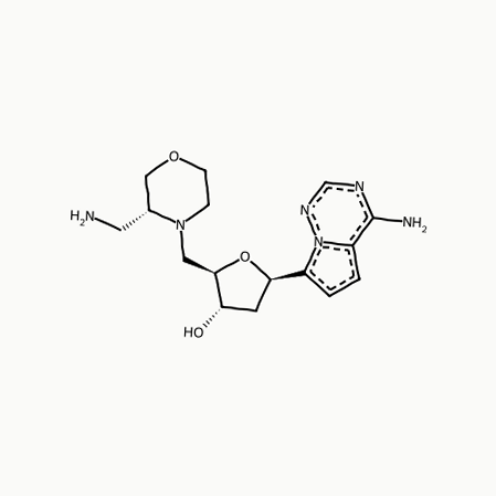 NC[C@@H]1COCCN1C[C@H]1O[C@@H](c2ccc3c(N)ncnn23)C[C@@H]1O